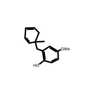 COc1ccc(O)c(CC2(C)C=CC=CC2)c1